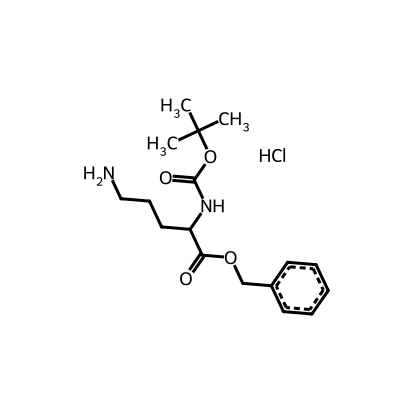 CC(C)(C)OC(=O)NC(CCCN)C(=O)OCc1ccccc1.Cl